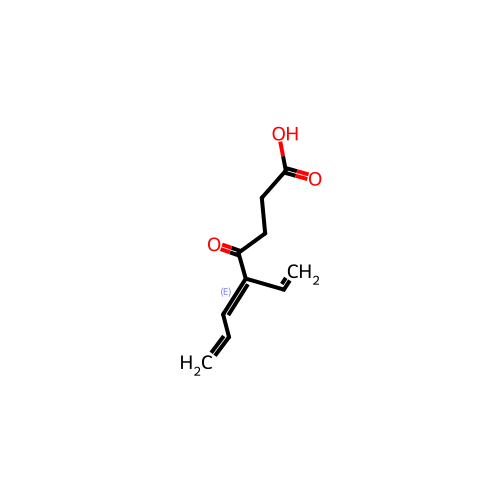 C=C/C=C(\C=C)C(=O)CCC(=O)O